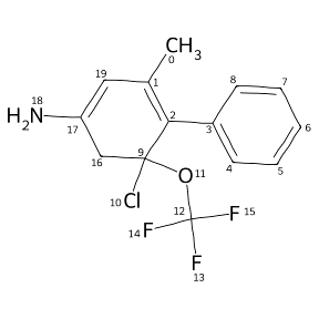 CC1=C(c2ccccc2)C(Cl)(OC(F)(F)F)CC(N)=C1